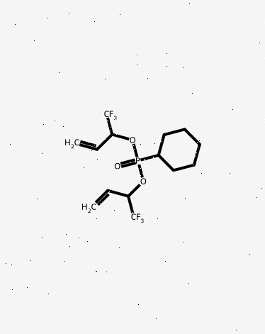 C=CC(OP(=O)(OC(C=C)C(F)(F)F)C1CCCCC1)C(F)(F)F